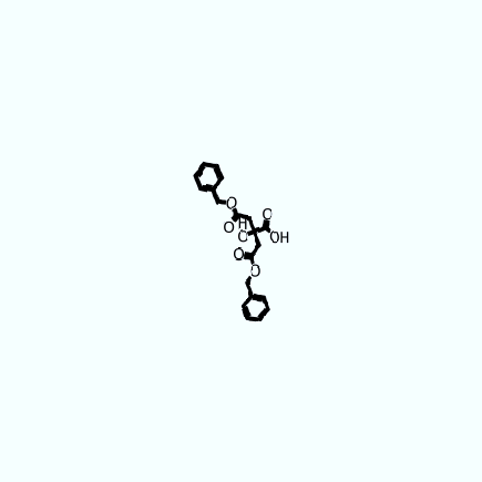 O=C(CC(O)(CC(=O)OCc1ccccc1)C(=O)O)OCc1ccccc1